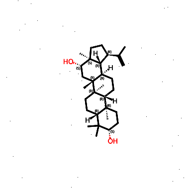 C=C(C)[C@@H]1CC[C@@]2(C)[C@H]1[C@H]1CC[C@@H]3[C@@]4(C)CC[C@H](O)C(C)(C)[C@@H]4CC[C@@]3(C)[C@]1(C)C[C@@H]2O